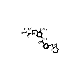 COc1cc(NC(=O)c2cccc(NC3=NCCCN3)c2)ccc1CC(NC(=O)OC(C)C)C(=O)O